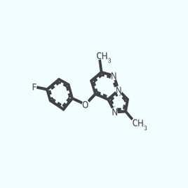 Cc1cn2nc(C)cc(Oc3ccc(F)cc3)c2n1